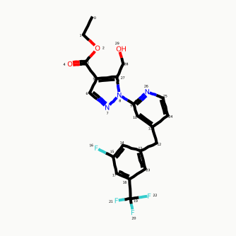 CCOC(=O)c1cnn(-c2cc(Cc3cc(F)cc(C(F)(F)F)c3)ccn2)c1CO